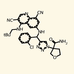 CC(C)(C)CNc1c(C#N)cnc2c(C#N)cc(NC(c3cn(C4(C(N)=O)CCOC4)nn3)c3ccccc3Cl)cc12